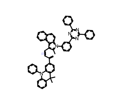 C=C(/C=C\c1c(C)n(-c2cccc(-c3nc(-c4ccccc4)nc(-c4ccccc4)n3)c2)c2ccc3ccccc3c12)c1ccc2c(c1)N(c1ccccc1)c1ccccc1C2(C)C